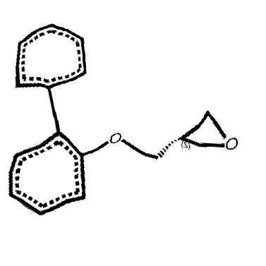 c1ccc(-c2ccccc2OC[C@@H]2CO2)cc1